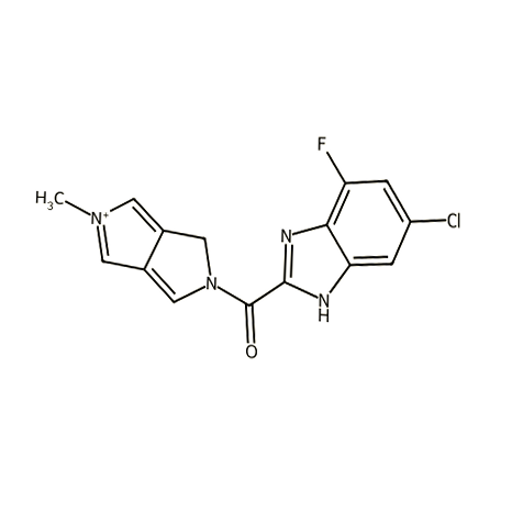 C[N+]1=CC2=CN(C(=O)c3nc4c(F)cc(Cl)cc4[nH]3)CC2=C1